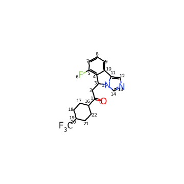 O=C(CC1c2c(F)cccc2-c2cncn21)C1CCC(C(F)(F)F)CC1